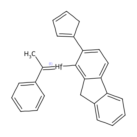 C/[C](=[Hf]\[c]1c(C2=CC=CC2)ccc2c1Cc1ccccc1-2)c1ccccc1